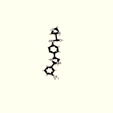 O=C(Nc1ccc(-c2c[nH]c(-c3cccc(C(F)(F)F)c3)n2)cc1)c1cscn1